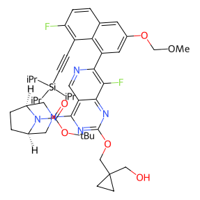 COCOc1cc(-c2ncc3c(N4C[C@H]5CC[C@@H](C4)N5C(=O)OC(C)(C)C)nc(OCC4(CO)CC4)nc3c2F)c2c(C#C[Si](C(C)C)(C(C)C)C(C)C)c(F)ccc2c1